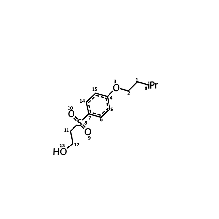 CC(C)CCOc1ccc(S(=O)(=O)CCO)cc1